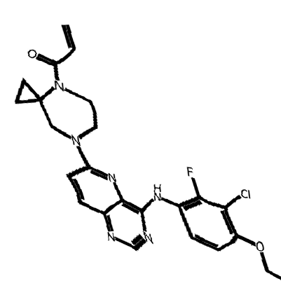 C=CC(=O)N1CCN(c2ccc3ncnc(Nc4ccc(OCC5(F)CC5)c(Cl)c4F)c3n2)CC12CC2